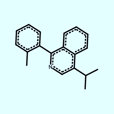 Cc1ccccc1-c1ncc(C(C)C)c2ccccc12